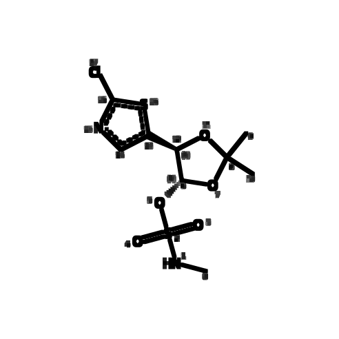 CNS(=O)(=O)O[C@H]1OC(C)(C)O[C@@H]1c1cnc(Cl)s1